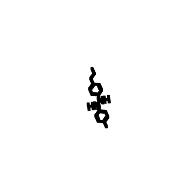 CCCc1ccc(NNc2ccc(C)cc2)cc1